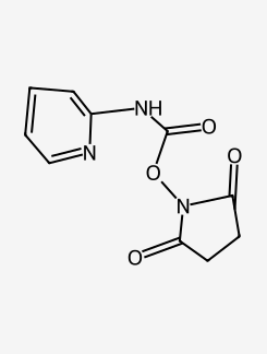 O=C(Nc1ccccn1)ON1C(=O)CCC1=O